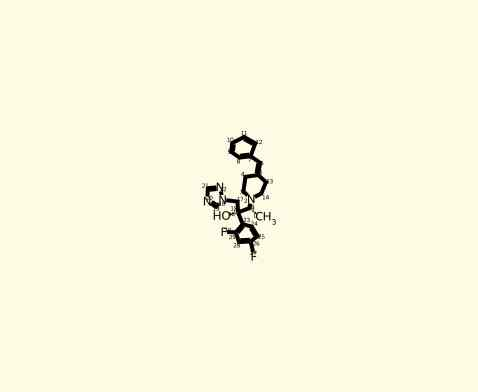 C[C@@H](N1CCC(=Cc2ccccc2)CC1)[C@](O)(Cn1cncn1)c1ccc(F)cc1F